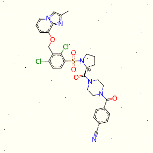 Cc1cn2cccc(OCc3c(Cl)ccc(S(=O)(=O)N4CCC[C@H]4C(=O)N4CCN(C(=O)c5ccc(C#N)cc5)CC4)c3Cl)c2n1